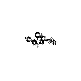 C[C@H]1CCCCn2ncc(-c3nc(Nc4ccc(N5CCN(C)CC5)cn4)ncc3NCCS(=O)(=O)n3ncnn3)c21